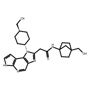 N#CC[C@H]1CC[C@H](n2c(CC(=O)NC34CCC(CO)(CC3)C4)nc3cnc4[nH]ccc4c32)CC1